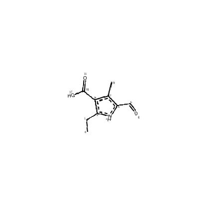 CCc1[nH]c(C=O)c(C)c1C(=O)O